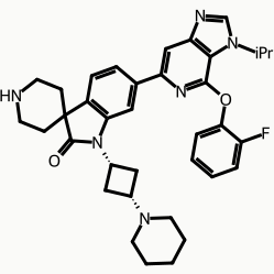 CC(C)n1cnc2cc(-c3ccc4c(c3)N([C@H]3C[C@@H](N5CCCCC5)C3)C(=O)C43CCNCC3)nc(Oc3ccccc3F)c21